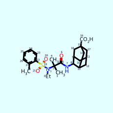 CCN(C(C)(C)C(=O)NC1C2CC3CC1CC(C(=O)O)(C3)C2)S(=O)(=O)c1ccccc1C